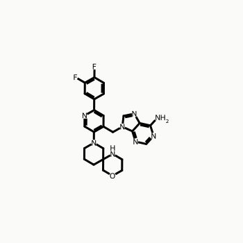 Nc1ncnc2c1ncn2Cc1cc(-c2ccc(F)c(F)c2)ncc1N1CCCC2(COCCN2)C1